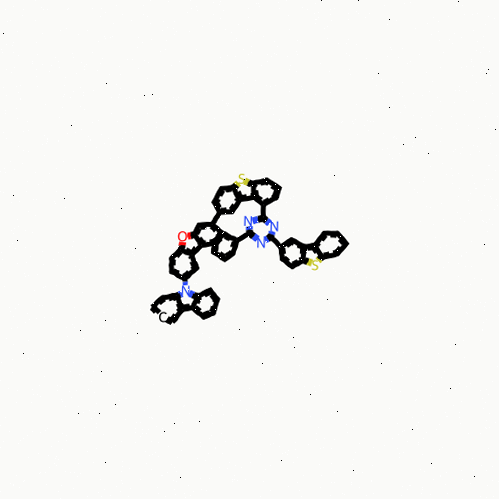 c1ccc(-c2nc(-c3ccc4sc5ccccc5c4c3)nc(-c3cccc4sc5ccc(-c6ccc7c(c6)oc6ccc(-n8c9ccccc9c9ccccc98)cc67)cc5c34)n2)cc1